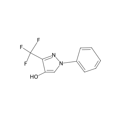 Oc1cn(-c2ccccc2)nc1C(F)(F)F